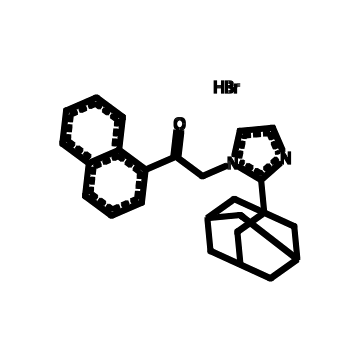 Br.O=C(Cn1ccnc1C12CC3CC(CC(C3)C1)C2)c1cccc2ccccc12